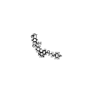 CC(C)Oc1ccc(NC(=O)N2CCC(c3ncnc4cc(OCCCN5CCN(C)CC5)ccc34)CC2)cc1